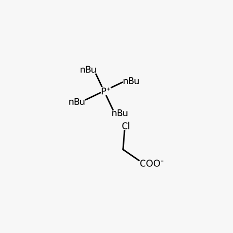 CCCC[P+](CCCC)(CCCC)CCCC.O=C([O-])CCl